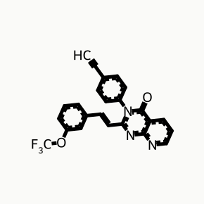 C#Cc1ccc(-n2c(C=Cc3cccc(OC(F)(F)F)c3)nc3ncccc3c2=O)cc1